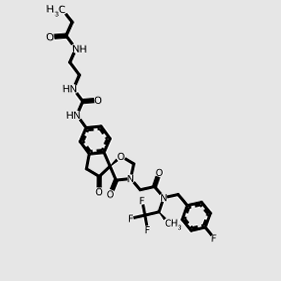 CCC(=O)NCCNC(=O)Nc1ccc2c(c1)CC(=O)[C@]21OCN(CC(=O)N(Cc2ccc(F)cc2)[C@@H](C)C(F)(F)F)C1=O